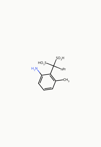 CCCC(c1c(C)cccc1N)(S(=O)(=O)O)S(=O)(=O)O